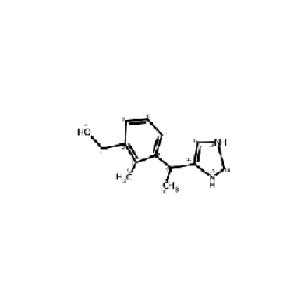 Cc1c(CO)cccc1C(C)C1=CNCN1